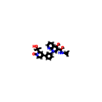 CC(C)(O)c1cc(-c2cccc(-n3cc(C(=O)NC4CC4)c(=O)c4cccnc43)c2)cc[n+]1[O-]